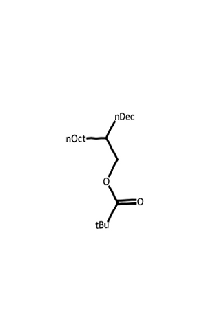 CCCCCCCCCCC(CCCCCCCC)COC(=O)C(C)(C)C